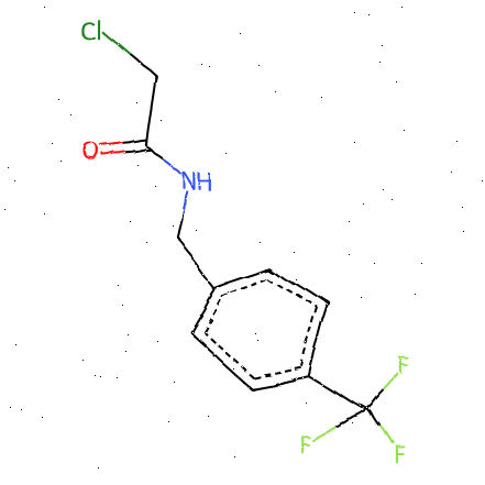 O=C(CCl)NCc1ccc(C(F)(F)F)cc1